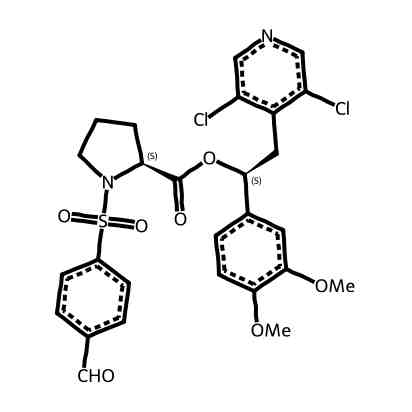 COc1ccc([C@H](Cc2c(Cl)cncc2Cl)OC(=O)[C@@H]2CCCN2S(=O)(=O)c2ccc(C=O)cc2)cc1OC